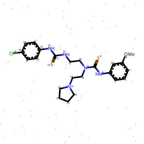 COc1cccc(NC(=S)N(CCNC(=S)Nc2ccc(Cl)cc2)CCN2CCCC2)c1